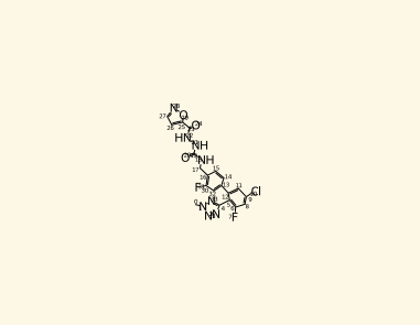 Cn1nnc(-c2c(F)cc(Cl)cc2-c2ccc(CNC(=O)NNC(=O)c3ccno3)c(F)c2)n1